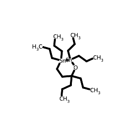 CCCC1(CCC)C[CH2][Sn]([CH2]CC)([CH2]CC)[Sn]([CH2]CC)([CH2]CC)[O]1